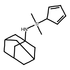 [CH3][Ti]([CH3])([NH]C12CC3CC(CC(C3)C1)C2)[CH]1C=CC=C1